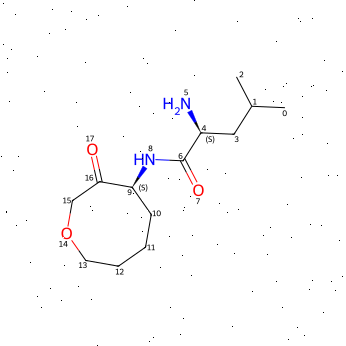 CC(C)C[C@H](N)C(=O)N[C@H]1CCCCOCC1=O